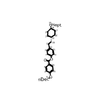 CCCCCCCCCCOc1ccc(C(=O)Oc2ccc(CC[C@H]3CC[C@H](CCCCCCC)CC3)cc2)cc1